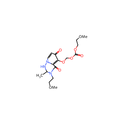 COCCOC(=O)OCOc1c2n(ccc1=O)NC(C)N(CCOC)C2=O